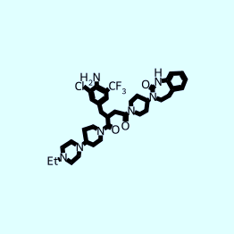 CCN1CCN(C2CCN(C(=O)C(CC(=O)N3CCC(N4CCc5ccccc5NC4=O)CC3)Cc3cc(Cl)c(N)c(C(F)(F)F)c3)CC2)CC1